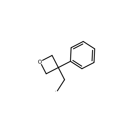 [CH2]CC1(c2ccccc2)COC1